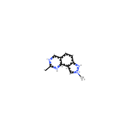 Cc1ncc2ccc3nn(C(F)(F)F)cc3c2n1